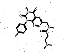 CN(C)CCC(=O)N(C)Cc1nnc2c(n1)c(=O)n(C)c(=O)n2-c1ccc(F)cc1